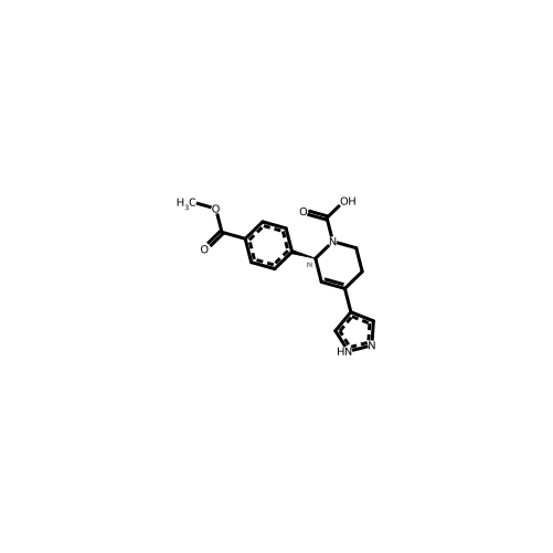 COC(=O)c1ccc([C@@H]2C=C(c3cn[nH]c3)CCN2C(=O)O)cc1